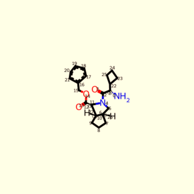 N[C@H](C(=O)N1C[C@@H]2CCC[C@@H]2[C@H]1C(=O)OCc1ccccc1)C1CCC1